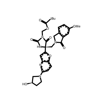 COc1ccc2c(c1)C(=O)N(C[C@@]1(c3cc4nc(N5CC[C@@H](O)C5)ccc4o3)NC(=O)N(COC(=O)C(C)(C)C)C1=O)C2